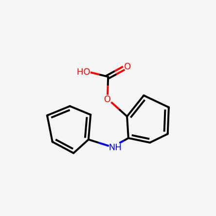 O=C(O)Oc1ccccc1Nc1ccccc1